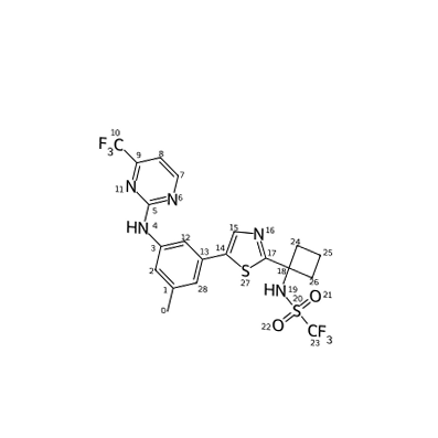 Cc1cc(Nc2nccc(C(F)(F)F)n2)cc(-c2cnc(C3(NS(=O)(=O)C(F)(F)F)CCC3)s2)c1